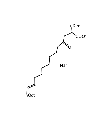 CCCCCCCCC=CCCCCCCCC(=O)CC(CCCCCCCCCC)C(=O)[O-].[Na+]